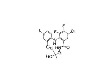 CC(O)(ONC(=O)c1cc(Br)c(F)c(F)c1Nc1ccc(I)cc1Cl)C1CC1